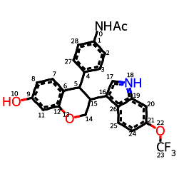 CC(=O)Nc1ccc(C2c3ccc(O)cc3OCC2c2c[nH]c3cc(OC(F)(F)F)ccc23)cc1